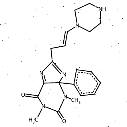 CN1C(=O)C2=NC(CC=CN3CCNCC3)=NC2(c2ccccc2)N(C)C1=O